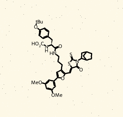 COc1cc(OC)cc(-c2cc(CCCNC(=O)[C@H](Cc3ccc(OC(C)(C)C)cc3)NC(=O)O)c(C=C3SC(=S)N(C4CC5CCC4C5)C3=O)o2)c1